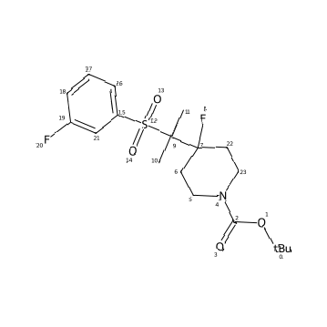 CC(C)(C)OC(=O)N1CCC(F)(C(C)(C)S(=O)(=O)c2cccc(F)c2)CC1